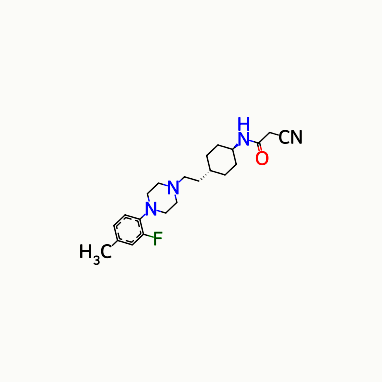 Cc1ccc(N2CCN(CC[C@H]3CC[C@H](NC(=O)CC#N)CC3)CC2)c(F)c1